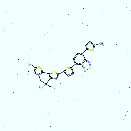 Cc1ccc(-c2ccc(-c3ccc(-c4cc5c(s4)-c4sc(C)cc4CC5(C)C)s3)c3nsnc23)s1